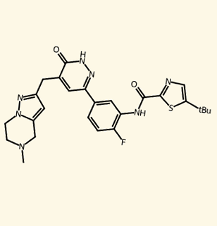 CN1CCn2nc(Cc3cc(-c4ccc(F)c(NC(=O)c5ncc(C(C)(C)C)s5)c4)n[nH]c3=O)cc2C1